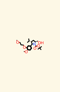 COCCCOc1cc(C2[C@H](C(C)C)C[C@@H](CO)N2C(=O)OC(C)(C)C)ccc1OC